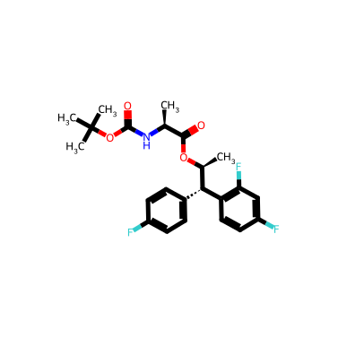 C[C@H](NC(=O)OC(C)(C)C)C(=O)O[C@@H](C)[C@@H](c1ccc(F)cc1)c1ccc(F)cc1F